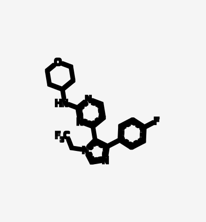 Fc1ccc(-c2ncn(CC(F)(F)F)c2-c2ccnc(NC3CCOCC3)n2)cc1